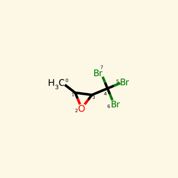 CC1OC1C(Br)(Br)Br